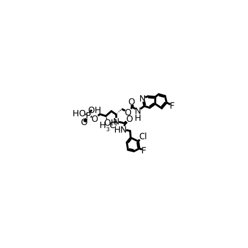 CN(C(=O)NCc1cccc(F)c1Cl)[C@@H](COC(=O)Nc1cc2cc(F)ccc2cn1)C[C@H](O)COP(=O)(O)O